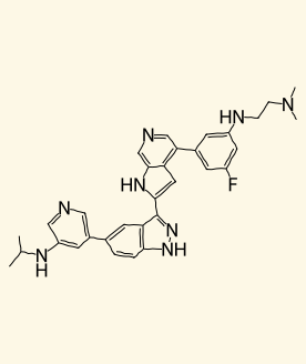 CC(C)Nc1cncc(-c2ccc3[nH]nc(-c4cc5c(-c6cc(F)cc(NCCN(C)C)c6)cncc5[nH]4)c3c2)c1